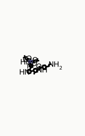 Cc1cc(NC(=O)c2ccc(CCN)cc2)ccc1C1=C(c2ccn(/C(=N\C(=O)OC(C)(C)C)NC(=O)OC(C)(C)C)n2)CNCC1